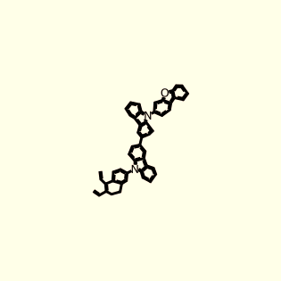 C=CC1=C(C=C)c2ccc(-n3c4ccccc4c4cc(-c5ccc6c(c5)c5ccccc5n6-c5ccc6c(c5)oc5ccccc56)ccc43)cc2CC1